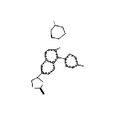 CC(C)(C)[C@H]1CC[C@H](Oc2ccc3cc([C@]4(C)COC(=O)N4)ccc3c2-c2ccc(Cl)cc2)CC1